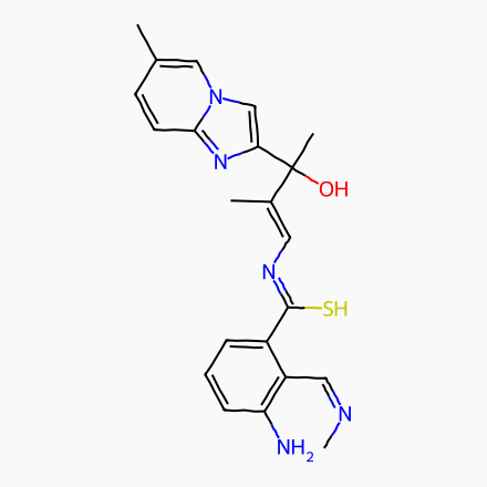 C/N=C\c1c(N)cccc1/C(S)=N/C=C(\C)C(C)(O)c1cn2cc(C)ccc2n1